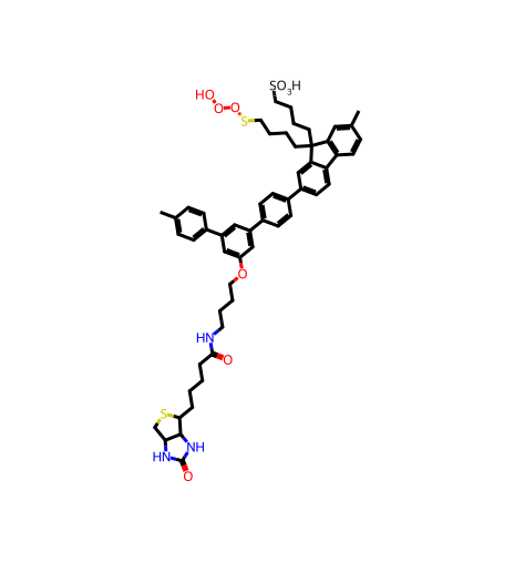 Cc1ccc(-c2cc(OCCCCNC(=O)CCCCC3SCC4NC(=O)NC43)cc(-c3ccc(-c4ccc5c(c4)C(CCCCSOOO)(CCCCS(=O)(=O)O)c4cc(C)ccc4-5)cc3)c2)cc1